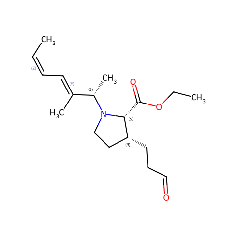 C/C=C\C=C(/C)[C@H](C)N1CC[C@@H](CCC=O)[C@H]1C(=O)OCC